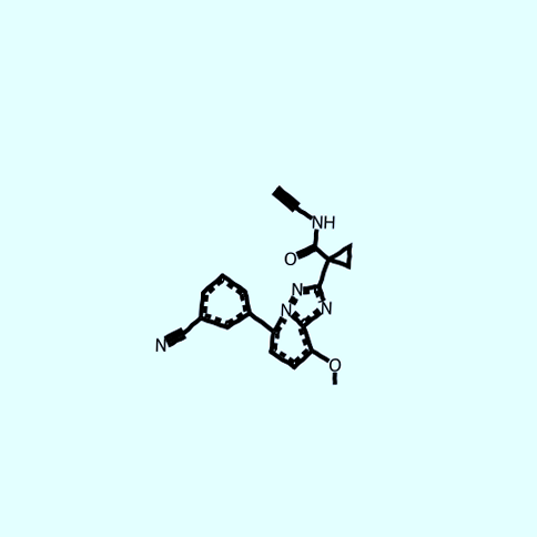 C#CNC(=O)C1(c2nc3c(OC)ccc(-c4cccc(C#N)c4)n3n2)CC1